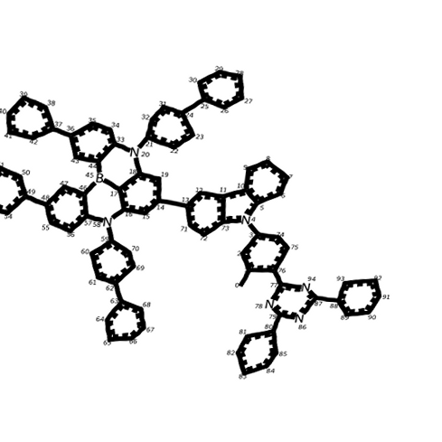 Cc1cc(-n2c3ccccc3c3cc(-c4cc5c6c(c4)N(c4ccc(-c7ccccc7)cc4)c4ccc(-c7ccccc7)cc4B6c4cc(-c6ccccc6)ccc4N5c4ccc(-c5ccccc5)cc4)ccc32)ccc1-c1nc(-c2ccccc2)nc(-c2ccccc2)n1